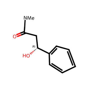 CNC(=O)C[C@@H](O)c1ccccc1